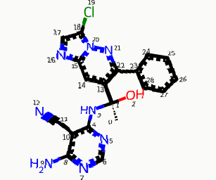 C[C@](O)(Nc1ncnc(N)c1C#N)c1cc2ncc(Cl)n2nc1-c1ccccc1